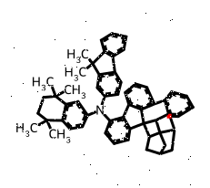 CC1(C)CCC(C)(C)c2cc(N(c3ccc4c(c3)C(C)(C)c3ccccc3-4)c3cccc4c3-c3cccc(-c5ccccc5)c3C43C4CC5CC6CC3C64C5)ccc21